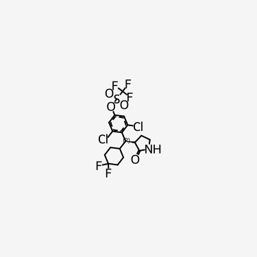 O=C1NCCC1[C@H](c1c(Cl)cc(OS(=O)(=O)C(F)(F)F)cc1Cl)C1CCC(F)(F)CC1